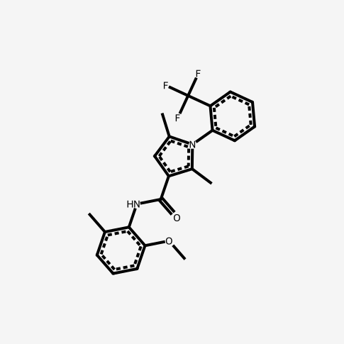 COc1cccc(C)c1NC(=O)c1cc(C)n(-c2ccccc2C(F)(F)F)c1C